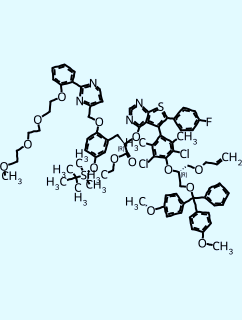 C=CCOC[C@H](COC(c1ccccc1)(c1ccc(OC)cc1)c1ccc(OC)cc1)Oc1c(Cl)c(C)c(-c2c(-c3ccc(F)cc3)sc3ncnc(O[C@H](Cc4cc(O[Si](C)(C)C(C)(C)C)ccc4OCc4ccnc(-c5ccccc5OCCOCCOCCOC)n4)C(=O)OCC)c23)c(C)c1Cl